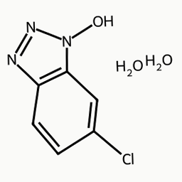 O.O.On1nnc2ccc(Cl)cc21